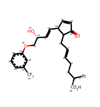 CC(C)C(CCC=CCC1C(=O)C=CC1/C=C/[C@@H](O)COc1cccc(C(F)(F)F)c1)C(=O)O